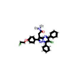 CCN(CC)C(=O)Cc1c(-c2ccc(OCCF)cc2)nn2c(-c3ccccc3)c(Br)c(-c3ccccc3)nc12